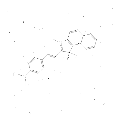 CCN(CC)c1ccc(/C=C/C2=[N+](C)C3=C(C4C=CC=CC4C=C3)C2(C)C)cc1